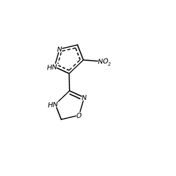 O=[N+]([O-])c1cn[nH]c1C1=NOCN1